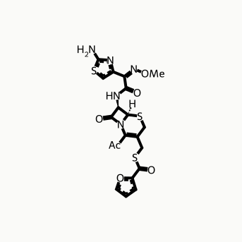 CO/N=C(\C(=O)N[C@@H]1C(=O)N2C(C(C)=O)=C(CSC(=O)c3ccco3)CS[C@H]12)c1csc(N)n1